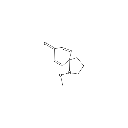 CON1CCCC12C=CC(=O)C=C2